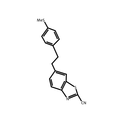 CSc1ccc(CCc2ccc3nc(C#N)sc3c2)cc1